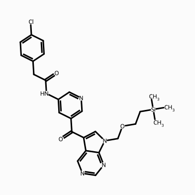 C[Si](C)(C)CCOCn1cc(C(=O)c2cncc(NC(=O)Cc3ccc(Cl)cc3)c2)c2cncnc21